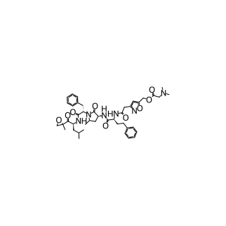 CC(C)C[C@H](NC(=O)[C@H](Cc1ccccc1)N1C(=O)[C@@H](NC(=O)[C@H](CCc2ccccc2)NC(=O)Cc2cc(COC(=O)CN(C)C)on2)CC1C)C(=O)C1(C)CO1